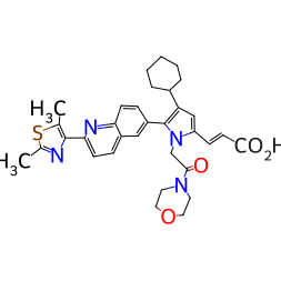 Cc1nc(-c2ccc3cc(-c4c(C5CCCCC5)cc(/C=C/C(=O)O)n4CC(=O)N4CCOCC4)ccc3n2)c(C)s1